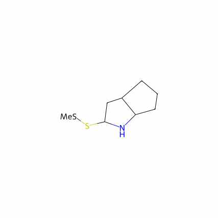 CSSC1CC2CCCC2N1